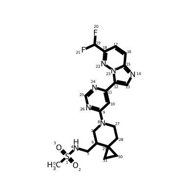 CS(=O)(=O)NCC1CN(c2cc(-c3cnc4ccc(C(F)F)nn34)ncn2)CCC12CC2